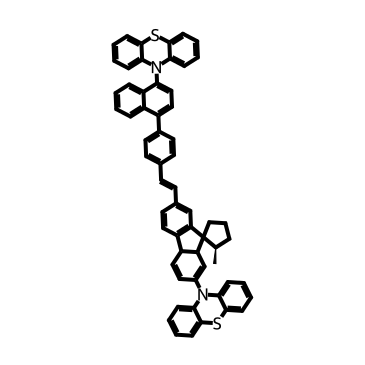 C[C@@H]1CCCC12c1cc(/C=C/c3ccc(-c4ccc(N5c6ccccc6Sc6ccccc65)c5ccccc45)cc3)ccc1C1C=CC(N3c4ccccc4Sc4ccccc43)=CC12